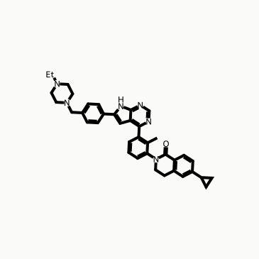 CCN1CCN(Cc2ccc(-c3cc4c(-c5cccc(N6CCc7cc(C8CC8)ccc7C6=O)c5C)ncnc4[nH]3)cc2)CC1